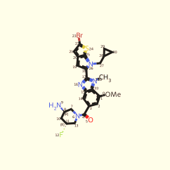 COc1cc(C(=O)N2C[C@H](N)C[C@@H](F)C2)cc2nc(-c3cc4cc(Br)sc4n3CC3CC3)n(C)c12